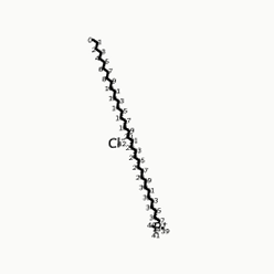 CCCCCCCCCCCCCCCCCCCCCCCCCCCCCCCCCCCCCC[P+](C)(C)C.[Cl-]